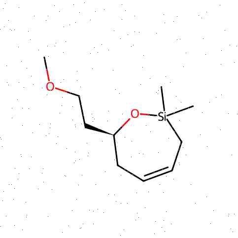 COCC[C@@H]1CC=CC[Si](C)(C)O1